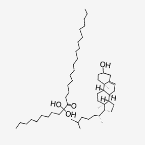 CC(C)CCC[C@@H](C)[C@H]1CC[C@H]2[C@@H]3CC=C4CC(O)CC[C@]4(C)[C@H]3CC[C@]12C.CCCCCCCCCCCCCCCCCC(=O)C(O)(O)CCCCCCCCC